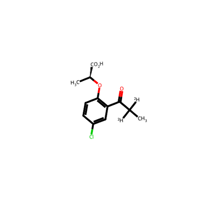 [2H]C([2H])(C)C(=O)c1cc(Cl)ccc1O[C@@H](C)C(=O)O